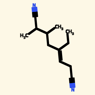 CC/C(=C\CC#N)CC(C)C(C)C#N